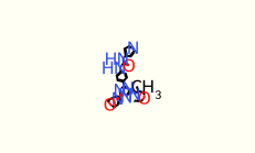 CC1COCCN1c1nc(-c2ccc(NC(=O)Nc3ccncc3)cc2)nc(N2C3CCC2COC3)n1